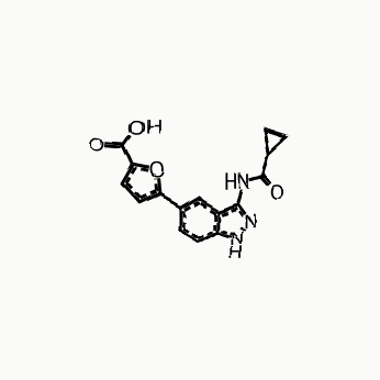 O=C(O)c1ccc(-c2ccc3[nH]nc(NC(=O)C4CC4)c3c2)o1